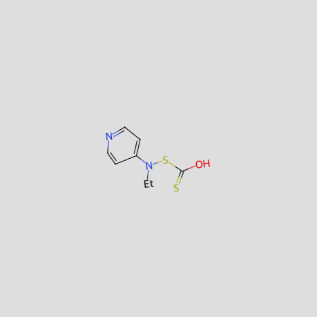 CCN(SC(O)=S)c1ccncc1